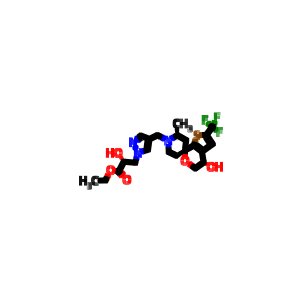 CCOC(=O)[C@H](O)Cn1cc(CN2CC[C@]3(C[C@@H]2C)OC[C@@H](O)c2cc(C(F)(F)F)sc23)cn1